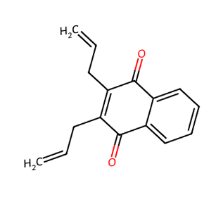 C=CCC1=C(CC=C)C(=O)c2ccccc2C1=O